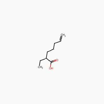 C=CC[CH]CC(CC)C(=O)O